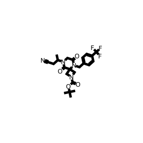 CC(CC#N)N1CC(=O)N(Cc2ccc(C(F)(F)F)cc2)C2(CN(C(=O)OC(C)(C)C)C2)C1=O